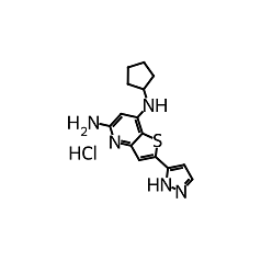 Cl.Nc1cc(NC2CCCC2)c2sc(-c3ccn[nH]3)cc2n1